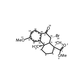 COC(=O)[C@@]1(C)CCC[C@]2(C)c3cc(OC)ccc3C(=O)[C@H](Br)C12